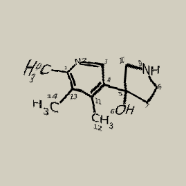 Cc1ncc(C2(O)CCNC2)c(C)c1C